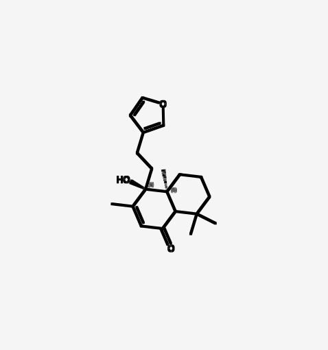 CC1=CC(=O)C2C(C)(C)CCC[C@]2(C)[C@@]1(O)CCc1ccoc1